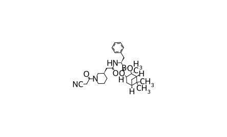 CC1(C)[C@@H]2C[C@H]3OB([C@H](Cc4ccccc4)NC(=O)C[C@H]4CCCN(C(=O)CC#N)C4)O[C@@]3(C)[C@H]1C2